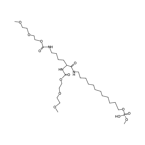 COCCOCCOC(=O)NCCCCC(NC(=O)OCCOCCOC)C(=O)NCCCCCCCCCCCCOP(=O)(O)OC